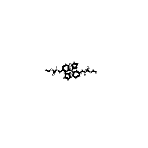 CCOC(=O)NCc1ccc(F)[c]([Ti]([C]2=CC=CC2)([C]2=CC=CC2)[c]2c(F)ccc(CNC(=O)OCC)c2F)c1F